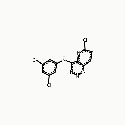 Clc1cc(Cl)cc(Nc2nnnc3ccc(Cl)nc23)c1